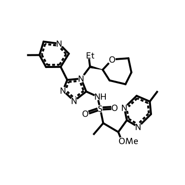 CCC([C@@H]1CCCCO1)n1c(NS(=O)(=O)C(C)C(OC)c2ncc(C)cn2)nnc1-c1cncc(C)c1